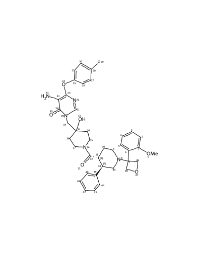 COc1ccccc1C1(N2CC[C@@H](C(=O)N3CCC(O)(Cn4cnc(Oc5ccc(F)cc5)c(N)c4=O)CC3)[C@H](c3ccccc3)C2)COC1